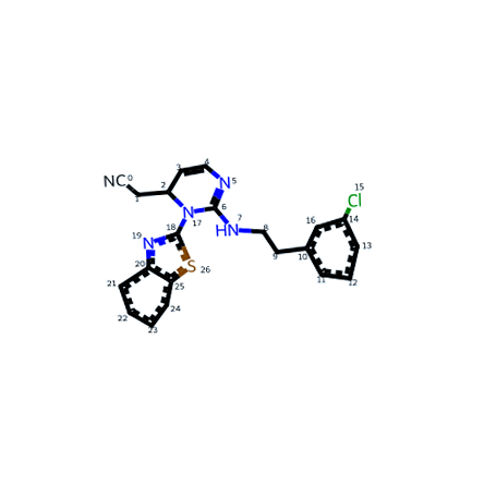 N#CCC1C=CN=C(NCCc2cccc(Cl)c2)N1c1nc2ccccc2s1